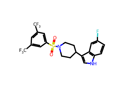 O=S(=O)(c1cc(C(F)(F)F)cc(C(F)(F)F)c1)N1CCC(c2c[nH]c3ccc(F)cc23)CC1